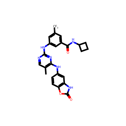 Cc1cnc(Nc2cc(C(=O)NC3CCC3)cc(C(F)(F)F)c2)nc1Nc1ccc2oc(=O)[nH]c2c1